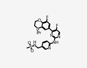 CC(C)N1CCOc2c(F)cc(-c3nc(Nc4ccc(CNS(C)(=O)=O)cn4)ncc3F)cc21